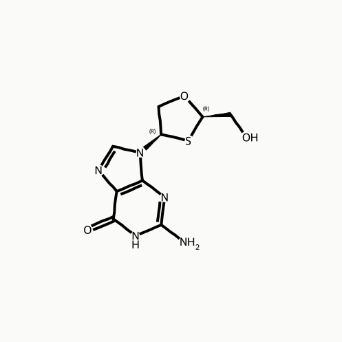 Nc1nc2c(ncn2[C@H]2CO[C@@H](CO)S2)c(=O)[nH]1